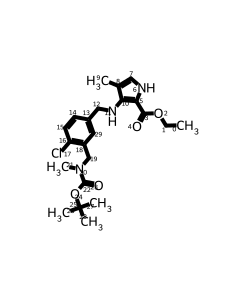 CCOC(=O)c1[nH]cc(C)c1NCc1ccc(Cl)c(CN(C)C(=O)OC(C)(C)C)c1